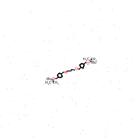 CC(C)(C)[Si](C)(C)OCc1ccc(COC/C=C/COCc2ccc(CO[Si](C)(C)C(C)(C)C)cc2)cc1